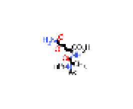 CCCN(C(C)=O)[C@@H](C)C(=O)N[C@@H](CCC(=O)C(N)=O)C(=O)O